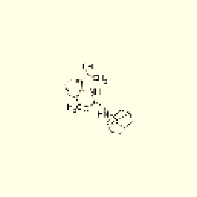 Cc1cccc(C(C)C)c1NC(=O)CNC12CC3CC(CC(C3)C1)C2